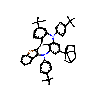 CC(C)(C)c1ccc(N2c3cc(C(C)(C)C)ccc3B3c4sc5ccccc5c4N(c4ccc(C(C)(C)C)cc4)c4cc(C56CC7CC(CC(C7)C5)C6)cc2c43)cc1